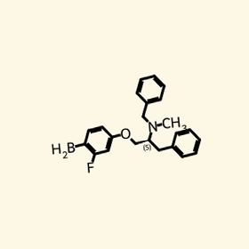 Bc1ccc(OC[C@H](Cc2ccccc2)N(C)Cc2ccccc2)cc1F